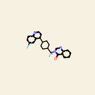 C[C@H](C1CCC(c2ccnc3ccc(F)cc23)CC1)n1cnc2ccccc2c1=O